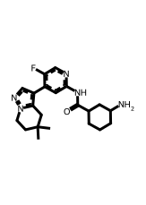 CC1(C)CCn2ncc(-c3cc(NC(=O)C4CCCC(N)C4)ncc3F)c2C1